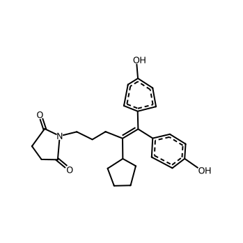 O=C1CCC(=O)N1CCCC(=C(c1ccc(O)cc1)c1ccc(O)cc1)C1CCCC1